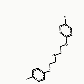 Fc1ccc(OCCNCCOc2ccc(F)cc2)cc1